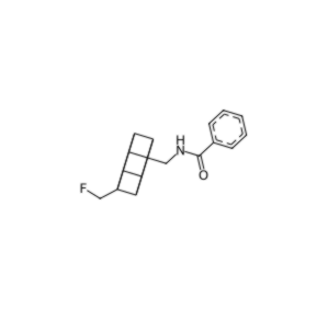 O=C(NCC12C3C4C1C1C2C3C41CF)c1ccccc1